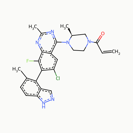 C=CC(=O)N1CCN(c2nc(C)nc3c(F)c(-c4c(C)ccc5[nH]ncc45)c(Cl)cc23)[C@@H](C)C1